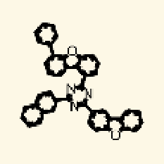 c1ccc(-c2cccc3c2oc2cccc(-c4nc(-c5ccc6ccccc6c5)nc(-c5ccc6oc7ccccc7c6c5)n4)c23)cc1